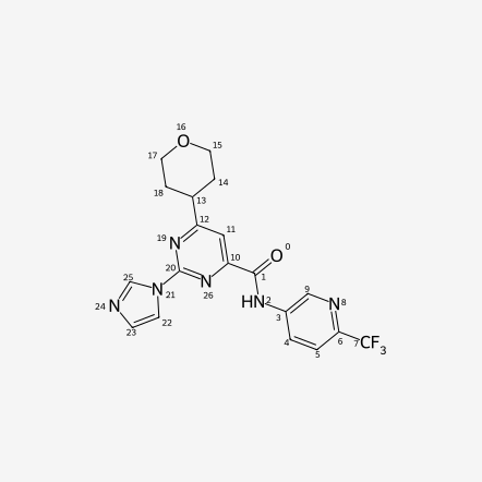 O=C(Nc1ccc(C(F)(F)F)nc1)c1cc(C2CCOCC2)nc(-n2ccnc2)n1